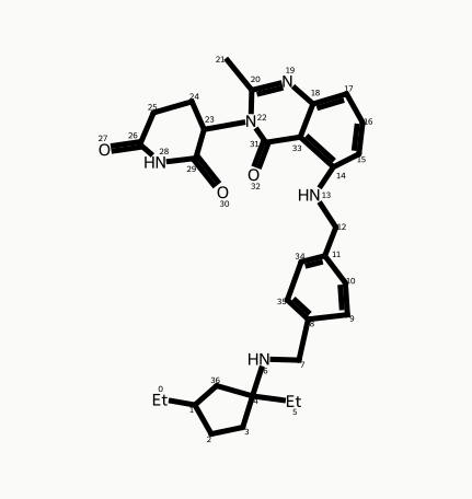 CCC1CCC(CC)(NCc2ccc(CNc3cccc4nc(C)n(C5CCC(=O)NC5=O)c(=O)c34)cc2)C1